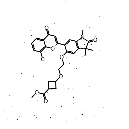 COC(=O)C1CC(OCCOc2cc3c(cc2-c2cc(=O)c4cccc(Cl)c4o2)N(C)C(=O)C3(C)C)C1